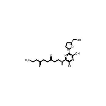 NCCC(=O)CCC(=O)CCNc1nc([C@H]2CC[C@@H](CO)O2)c(O)nc1O